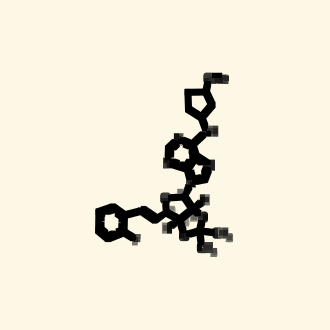 COC1CCC(Nc2ncnc3c2ncn3[C@@H]2O[C@H](C=Cc3ccccc3F)[C@H]3OC(C)(C)O[C@H]32)C1